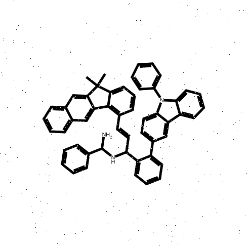 CC1(C)c2cc3ccccc3cc2-c2c(/C=C/C(NC(N)c3ccccc3)c3ccccc3-c3ccc4c(c3)c3ccccc3n4-c3ccccc3)cccc21